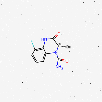 CCC(C)[C@H]1C(=O)Nc2c(F)cccc2N1C(N)=O